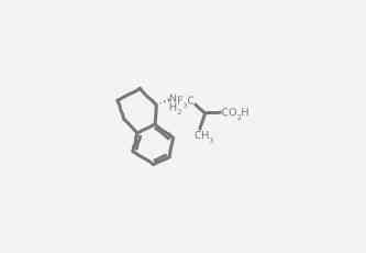 CC(C(=O)O)C(F)(F)F.N[C@H]1CCCc2ccccc21